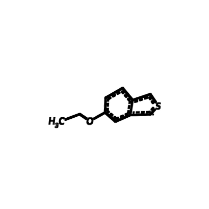 CCOc1ccc2cs[c]c2c1